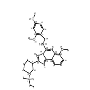 CCC(C)(C)N1CCCC(c2nc3c4cccc(OC)c4nc(NCc4ccc(OC)cc4OC)n3n2)C1